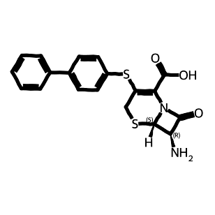 N[C@@H]1C(=O)N2C(C(=O)O)=C(Sc3ccc(-c4ccccc4)cc3)CS[C@@H]12